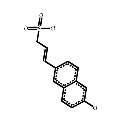 O=S(=O)(Cl)CC=Cc1ccc2cc(Cl)ccc2c1